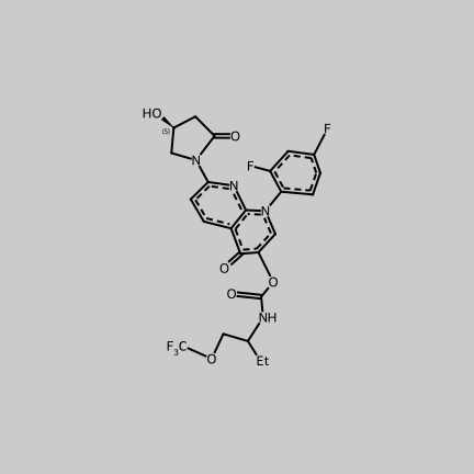 CCC(COC(F)(F)F)NC(=O)Oc1cn(-c2ccc(F)cc2F)c2nc(N3C[C@@H](O)CC3=O)ccc2c1=O